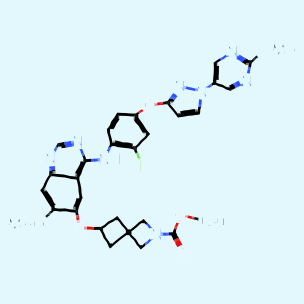 COc1ncc(-n2ccc(Oc3ccc(Nc4ncnc5cc(OC)c(OC6CC7(C6)CN(C(=O)OC(C)(C)C)C7)cc45)c(F)c3)n2)cn1